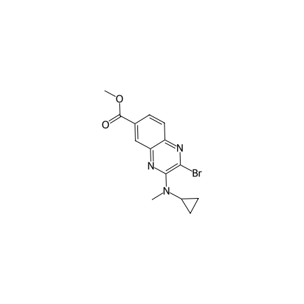 COC(=O)c1ccc2nc(Br)c(N(C)C3CC3)nc2c1